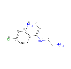 C/C=C(/NCCN)c1ccc(Cl)cc1N